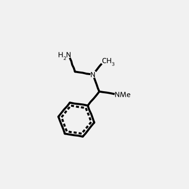 CNC(c1ccccc1)N(C)CN